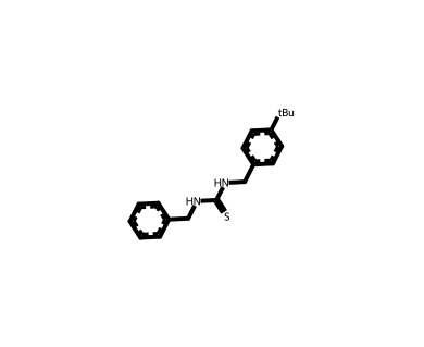 CC(C)(C)c1ccc(CNC(=S)NCc2ccccc2)cc1